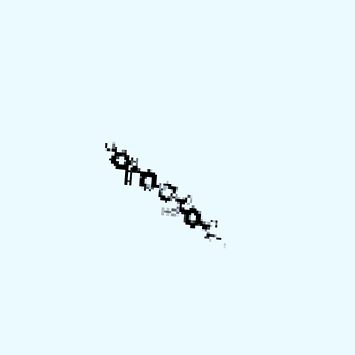 COC(=O)c1ccc(C(O)C(=O)N2CCN(c3ccc(-c4nc5cc(Cl)ccc5[nH]4)cn3)CC2)cc1